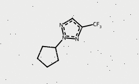 FC(F)(F)c1[c]nn(C2CCCC2)n1